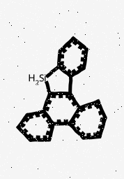 c1ccc2c(c1)[SiH2]c1c-2c2ccccc2c2ccccc12